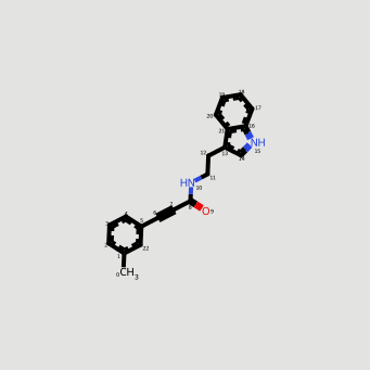 Cc1cccc(C#CC(=O)NCCc2c[nH]c3ccccc23)c1